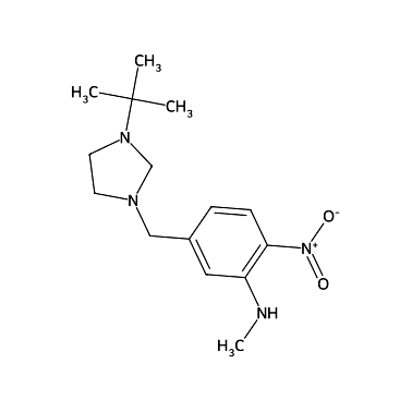 CNc1cc(CN2CCN(C(C)(C)C)C2)ccc1[N+](=O)[O-]